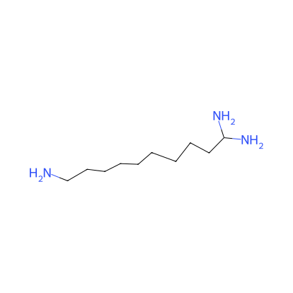 NCCCCCCCCCC(N)N